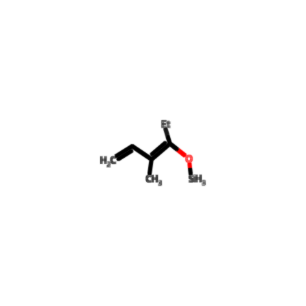 C=CC(C)=C(CC)O[SiH3]